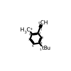 C#Cc1cc(C(C)(C)C)ccc1C